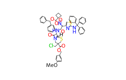 COc1ccc(COC(=O)C2(CCl)CS[C@@H]3C(NC(=O)C(=NOC4(C(=O)OC(c5ccccc5)c5ccccc5)CCC4)c4csc(NC(c5ccccc5)(c5ccccc5)c5ccccc5)n4)C(=O)N3C2)cc1